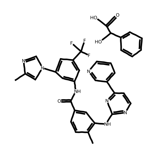 Cc1cn(-c2cc(NC(=O)c3ccc(C)c(Nc4nccc(-c5cccnc5)n4)c3)cc(C(F)(F)F)c2)cn1.O=C(O)C(O)c1ccccc1